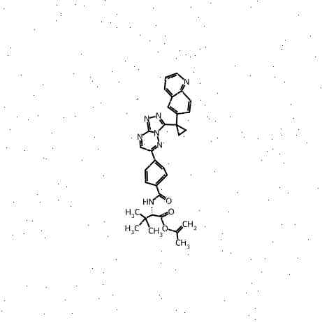 C=C(C)OC(=O)[C@@H](NC(=O)c1ccc(-c2cnc3nnc(C4(c5ccc6ncccc6c5)CC4)n3n2)cc1)C(C)(C)C